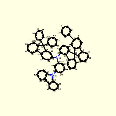 c1ccc(-c2ccc3c(c2)C2(c4ccccc4-3)c3ccccc3-c3c(N(c4cccc(-n5c6ccccc6c6ccccc65)c4)c4ccc5c(c4)C(c4ccccc4)(c4ccccc4)c4ccccc4-5)cccc32)cc1